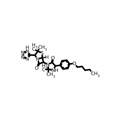 CCCCCOc1ccc(C2NC(C)(C)N(C3C(=O)N4C(c5nnn[nH]5)C(C)(C)S[C@H]34)C2=O)cc1